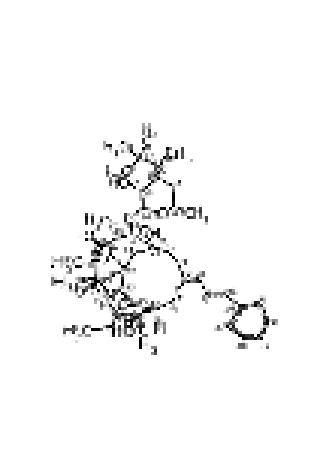 CC[C@H]1OC(=O)[C@H](C)C(=O)[C@H](C)[C@@H](O[C@@H]2O[C@H](C)C[C@H](N(C)C(C)(C)C)[C@H]2O)[C@]2(C)CC/C(=C/C=C/c3ccccc3)CC[C@H]([C@@H](C)/C(=N/C(C)=O)[C@H](C)C2)[C@]1(C)O